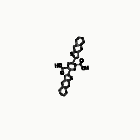 O=C(O)c1cc(-c2cc3cc4ccccc4cc3s2)c(C(=O)O)cc1-c1cc2cc3ccccc3cc2s1